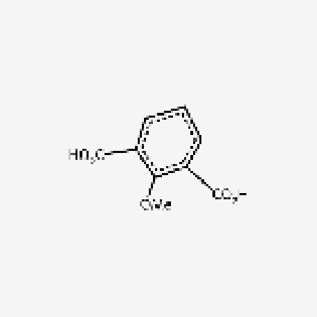 COc1c(C(=O)O)cccc1C(=O)O